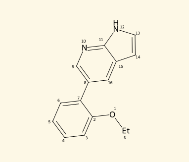 CCOc1ccccc1-c1cnc2[nH]ccc2c1